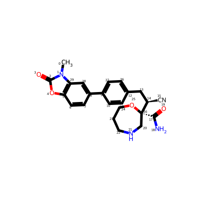 Cn1c(=O)oc2ccc(-c3ccc(C[C@@H](C#N)[C@@]4(C(N)=O)CNCCCO4)cc3)cc21